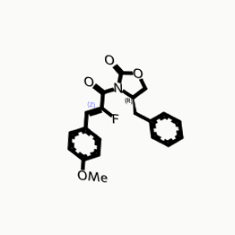 COc1ccc(/C=C(\F)C(=O)N2C(=O)OC[C@H]2Cc2ccccc2)cc1